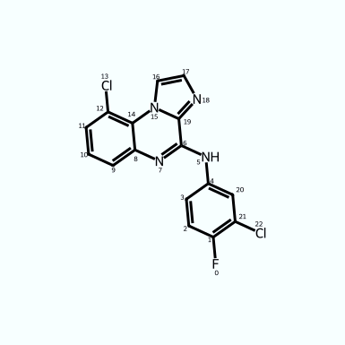 Fc1ccc(Nc2nc3cccc(Cl)c3n3ccnc23)cc1Cl